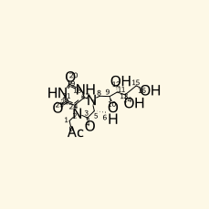 CC(=O)CN1C(=O)[C@@H](C)N(C[C@H](O)[C@H](O)[C@H](O)CO)c2[nH]c(=O)[nH]c(=O)c21